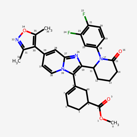 COC(=O)C1CCC=C(c2c(C3CCCC(=O)N3c3ccc(F)c(F)c3)nc3cc(-c4c(C)noc4C)ccn23)C1